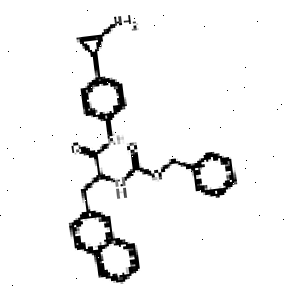 NC1CC1c1ccc(NC(=O)C(Cc2ccc3ccccc3c2)NC(=O)OCc2ccccc2)cc1